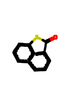 O=C1Sc2cccc3cccc1c23